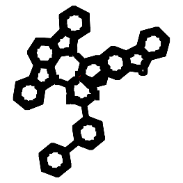 c1ccc(-c2cccc(-c3nc(-c4ccc5c(c4)oc4ccccc45)nc(-n4c5ccccc5c5ccc6c7ccccc7n(-c7ccccc7)c6c54)n3)c2)cc1